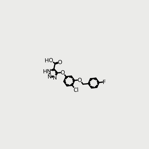 O=C(O)c1[nH]nnc1Oc1ccc(Cl)c(OCc2ccc(F)cc2)c1